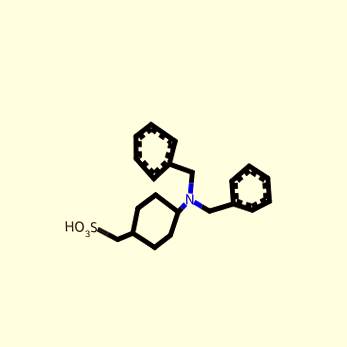 O=S(=O)(O)CC1CCC(N(Cc2ccccc2)Cc2ccccc2)CC1